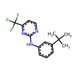 CC(C)(C)c1cccc(Nc2nccc(C(F)(F)F)n2)c1